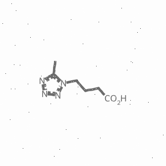 Cc1nnnn1CCCC(=O)O